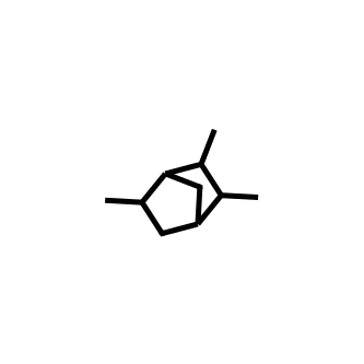 CC1CC2CC1C(C)C2C